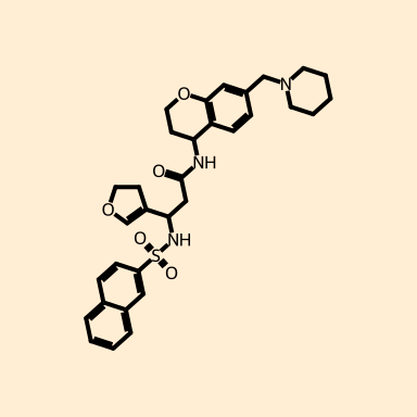 O=C(CC(NS(=O)(=O)c1ccc2ccccc2c1)C1=COCC1)NC1CCOc2cc(CN3CCCCC3)ccc21